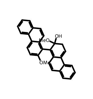 COc1ccc2c(ccc3ccccc32)c1C1=c2ccc3ccccc3c2=CCC1(O)OC